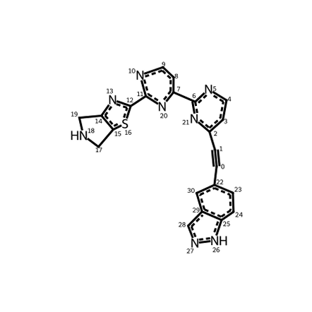 C(#Cc1ccnc(-c2ccnc(-c3nc4c(s3)CNC4)n2)n1)c1ccc2[nH]ncc2c1